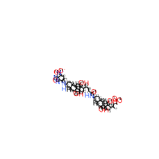 COC(=O)CCC(C)C1CC[C@H]2[C@@H]3C(CC(O)C12C)C1(C)CC[C@@H](NC(=O)CCC(C)C2CC[C@H]4[C@@H]5C(CC(O)C24C)C2(C)CC[C@@H](Nc4ccc([N+](=O)[O-])c6nonc46)C[C@H]2C[C@@H]5O)C[C@H]1C[C@@H]3O